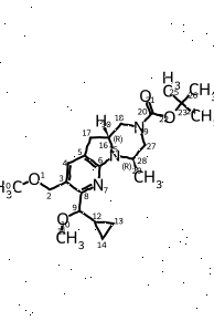 COCc1cc2c(nc1C(OC)C1CC1)N1[C@H](C2)CN(C(=O)OC(C)(C)C)C[C@H]1C